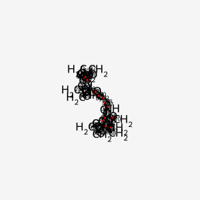 C=CC(=O)OCC(COCC(COC(=O)C=C)(COC(=O)C=C)COC(=O)Nc1ccc(Cc2ccc(NC(=O)OCC(COCC(COC(=O)C=C)(COC(=O)C=C)COC(=O)C=C)(COC(=O)C=C)COC(=O)C=C)cc2)cc1)(COC(=O)C=C)COC(=O)C=C